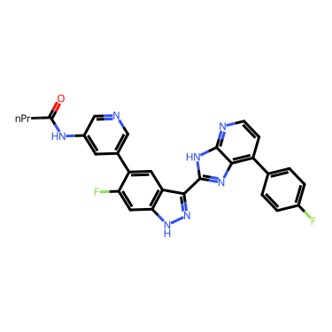 CCCC(=O)Nc1cncc(-c2cc3c(-c4nc5c(-c6ccc(F)cc6)ccnc5[nH]4)n[nH]c3cc2F)c1